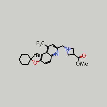 COC(=O)C1CN(Cc2cc(C(F)(F)F)c3cc(OC4(C(C)(C)C)CCCCC4)ccc3n2)C1